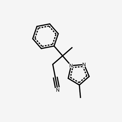 Cc1cnn(C(C)(CC#N)c2ccccc2)c1